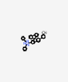 N#Cc1cccc(-c2ccc3c(c2)C2(c4ccccc4-c4ccccc42)c2cc(-c4nc(-c5ccccc5)nc(-c5ccccc5)n4)ccc2-3)c1